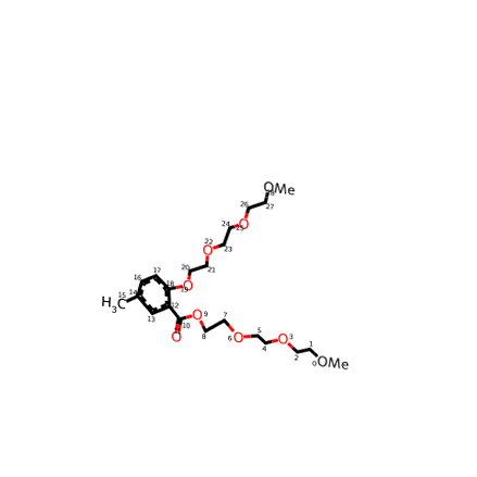 COCCOCCOCCOC(=O)c1cc(C)ccc1OCCOCCOCCOC